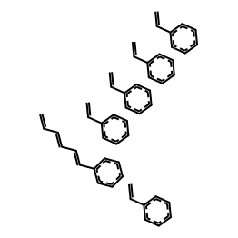 C=CC=CC=Cc1ccccc1.C=Cc1ccccc1.C=Cc1ccccc1.C=Cc1ccccc1.C=Cc1ccccc1.C=Cc1ccccc1